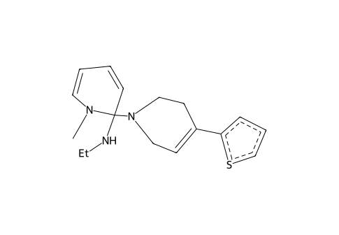 CCNC1(N2CC=C(c3cccs3)CC2)C=CC=CN1C